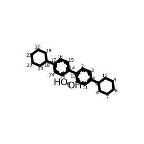 OO.c1cc(C2CCCCC2)ccc1-c1ccc(C2CCCCC2)cc1